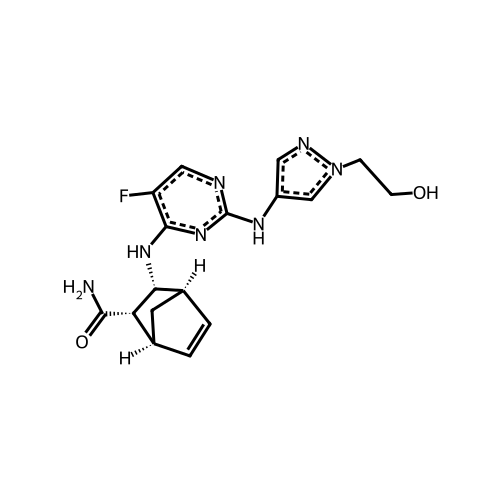 NC(=O)[C@@H]1[C@H](Nc2nc(Nc3cnn(CCO)c3)ncc2F)[C@H]2C=C[C@@H]1C2